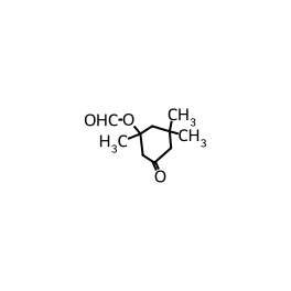 CC1(C)CC(=O)CC(C)(OC=O)C1